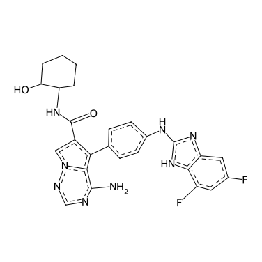 Nc1ncnn2cc(C(=O)NC3CCCCC3O)c(-c3ccc(Nc4nc5cc(F)cc(F)c5[nH]4)cc3)c12